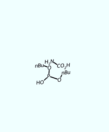 CCCCOP(O)OCCCC.NC(=O)O